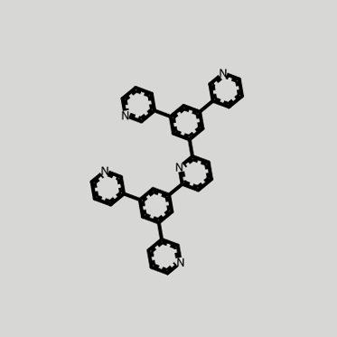 c1cncc(-c2cc(-c3cccnc3)cc(-c3cccc(-c4cc(-c5cccnc5)cc(-c5cccnc5)c4)n3)c2)c1